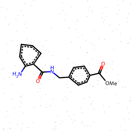 COC(=O)c1ccc(CNC(=O)c2ccccc2N)cc1